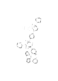 Cc1nc(-c2ccccc2)ccc1-c1ccc(-c2nc(-c3ccccc3)nc(-c3ccc4c(c3)C3(c5ccccc5O4)c4ccccc4-c4ccccc43)n2)cc1